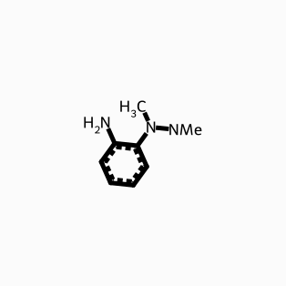 CNN(C)c1ccccc1N